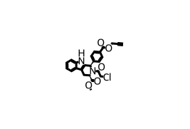 C#CCOC(=O)c1ccc([C@@H]2c3[nH]c4ccccc4c3C[C@H](C(=O)OC)N2C(=O)CCl)cc1